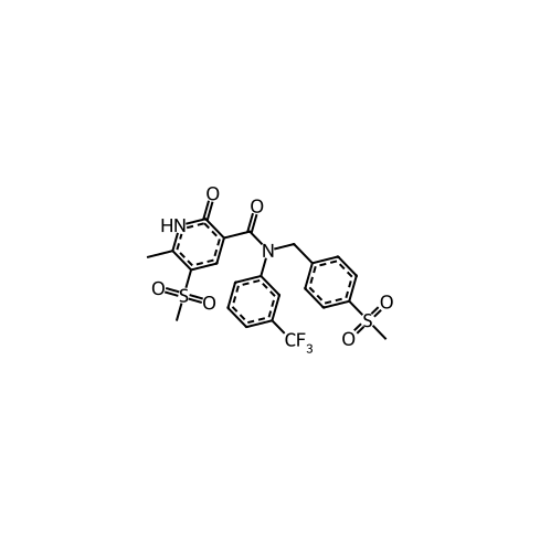 Cc1[nH]c(=O)c(C(=O)N(Cc2ccc(S(C)(=O)=O)cc2)c2cccc(C(F)(F)F)c2)cc1S(C)(=O)=O